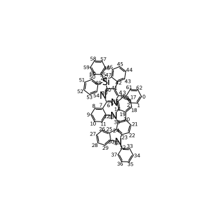 c1ccc(-c2nc(-c3ccccc3-n3c4ccccc4c4ccc5c(c6ccccc6n5-c5ccccc5)c43)nc3c2-c2ccccc2[Si]3(c2ccccc2)c2ccccc2)cc1